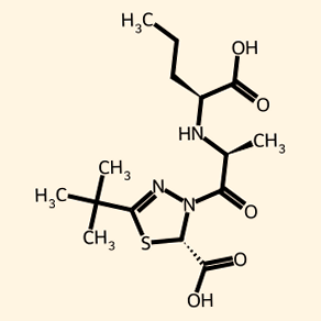 CCC[C@H](N[C@@H](C)C(=O)N1N=C(C(C)(C)C)S[C@H]1C(=O)O)C(=O)O